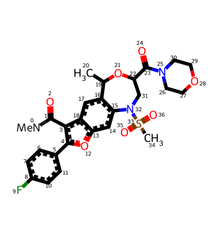 CNC(=O)c1c(-c2ccc(F)cc2)oc2cc3c(cc12)C(C)OC(C(=O)N1CCOCC1)CN3S(C)(=O)=O